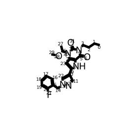 CCCCn1c(=O)c2[nH]c(-c3cnn(Cc4ccccc4F)c3)cc2n(C(C)OC)c1=O